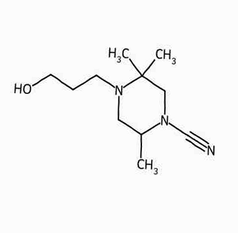 CC1CN(CCCO)C(C)(C)CN1C#N